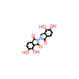 O=C1c2ccc(O)c(O)c2CN1N1C(=O)c2ccc(O)c(O)c2C1=O